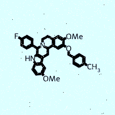 COc1ccc2[nH]c3c(c2c1)CC1c2cc(OCc4ccc(C)cc4)c(OC)cc2CCN1C3c1ccc(F)cc1